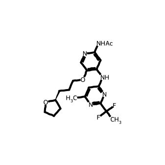 CC(=O)Nc1cc(Nc2cc(C)nc(C(C)(F)F)n2)c(OCCC[C@H]2CCCO2)cn1